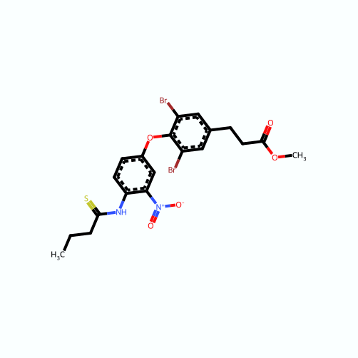 CCCC(=S)Nc1ccc(Oc2c(Br)cc(CCC(=O)OC)cc2Br)cc1[N+](=O)[O-]